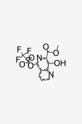 COC(=O)c1nc(OS(=O)(=O)C(F)(F)F)c2cccnc2c1O